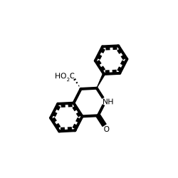 O=C1N[C@H](c2ccccc2)[C@@H](C(=O)O)c2ccccc21